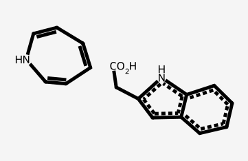 C1=CC=CNC=C1.O=C(O)Cc1cc2ccccc2[nH]1